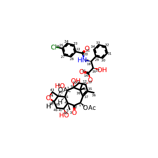 CC(=O)O[C@H]1C(=O)[C@@]2(C)[C@H]([C@H](O)[C@]3(O)C[C@H](OC(=O)[C@H](O)[C@@H](NC(=O)c4ccc(Cl)cc4)c4ccccc4)C(C)=C1C3(C)C)[C@]1(OC(C)=O)CO[C@@H]1C[C@@H]2O